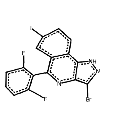 Fc1cccc(F)c1-c1nc2c(Br)n[nH]c2c2ccc(I)cc12